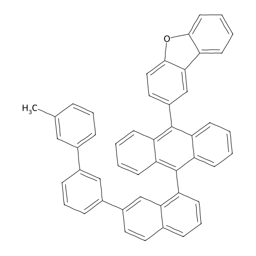 Cc1cccc(-c2cccc(-c3ccc4cccc(-c5c6ccccc6c(-c6ccc7oc8ccccc8c7c6)c6ccccc56)c4c3)c2)c1